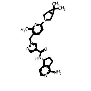 Cc1nc(N2CC3C(C2)C3(C)C)ccc1Cn1cc(C(=O)N[C@@H]2CCc3c2ccnc3N)cn1